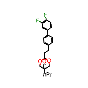 CCCC12COC(CCc3ccc(-c4ccc(F)c(F)c4)cc3)(OC1)OC2